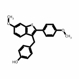 COc1ccc(-c2sc3cc(OC)ccc3c2Cc2ccc(O)cc2)cc1